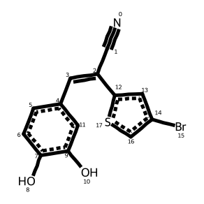 N#CC(=Cc1ccc(O)c(O)c1)c1cc(Br)cs1